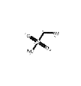 O=S(=O)(O)[CH2][Nd]